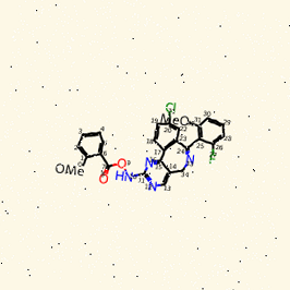 COc1ccccc1C(=O)ONc1ncc2c(n1)-c1ccc(Cl)cc1C(c1c(F)cccc1OC)=NC2